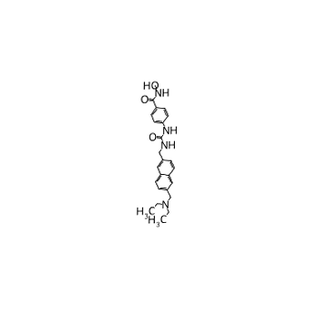 CCN(CC)Cc1ccc2cc(CNC(=O)Nc3ccc(C(=O)NO)cc3)ccc2c1